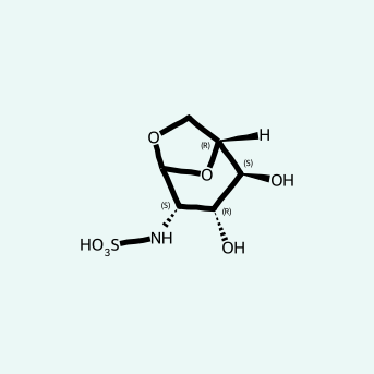 O=S(=O)(O)N[C@@H]1C2OC[C@@H](O2)[C@@H](O)[C@@H]1O